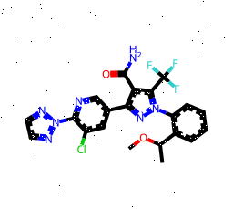 COC(C)c1ccccc1-n1nc(-c2cnc(-n3nccn3)c(Cl)c2)c(C(N)=O)c1C(F)(F)F